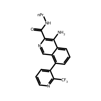 CCCNC(=O)c1ncc2c(-c3cccnc3C(F)(F)F)cccc2c1N